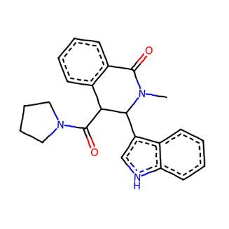 CN1C(=O)c2ccccc2C(C(=O)N2CCCC2)C1c1c[nH]c2ccccc12